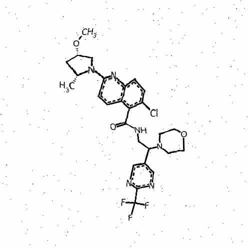 CO[C@H]1C[C@@H](C)N(c2ccc3c(C(=O)NCC(c4cnc(C(F)(F)F)nc4)N4CCOCC4)c(Cl)ccc3n2)C1